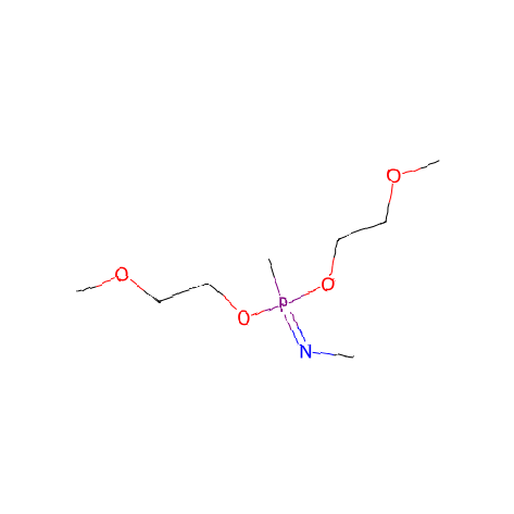 CN=P(C)(OCCOC)OCCOC